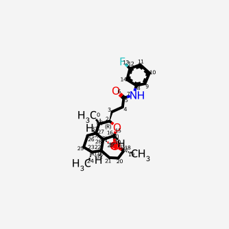 C[C@H]1[C@@H](CCC(=O)Nc2cccc(F)c2)O[C@@H]2O[C@]3(C)CC[C@H]4[C@H](C)CC[C@@H]1[C@@]24OO3